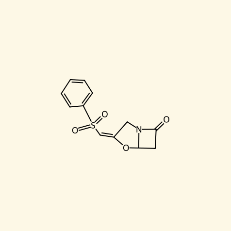 O=C1CC2O/C(=C/S(=O)(=O)c3ccccc3)CN12